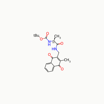 CC1=C(CNC(=O)[C@H](C)NC(=O)OC(C)(C)C)C(=O)c2ccccc2C1=O